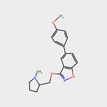 CN1CCCC1COc1noc2ccc(-c3ccc(OC(F)(F)F)cc3)cc12